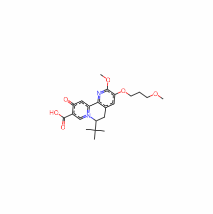 COCCCOc1cc2c(nc1OC)-c1cc(=O)c(C(=O)O)cn1C(C(C)(C)C)C2